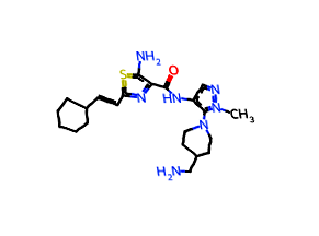 Cn1ncc(NC(=O)c2nc(C=CC3CCCCC3)sc2N)c1N1CCC(CN)CC1